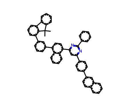 CC1(C)c2ccccc2-c2cccc(-c3cccc(-c4ccc(-c5cc(-c6ccc(-c7ccc8ccccc8c7)cc6)nc(-c6ccccc6)n5)c5ccccc45)c3)c21